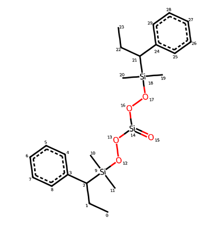 CCC(c1ccccc1)[Si](C)(C)OO[Si](=O)OO[Si](C)(C)C(CC)c1ccccc1